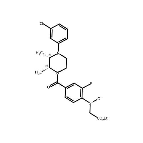 CCOC(=O)C[S+]([O-])c1ccc(C(=O)N2CCN(c3cccc(Cl)c3)[C@@H](C)[C@H]2C)cc1F